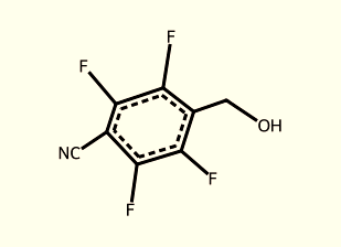 N#Cc1c(F)c(F)c(CO)c(F)c1F